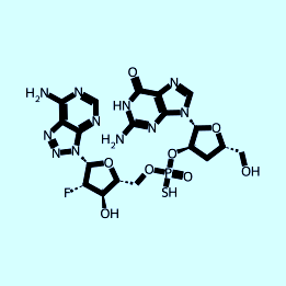 Nc1nc2c(ncn2[C@@H]2O[C@H](CO)C[C@H]2OP(=O)(S)OC[C@H]2O[C@@H](n3nnc4c(N)ncnc43)[C@@H](F)[C@@H]2O)c(=O)[nH]1